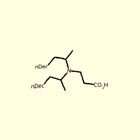 CCCCCCCCCCCC(C)N(CCC(=O)O)C(C)CCCCCCCCCCC